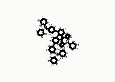 c1ccc(N(c2ccccc2)c2ccc(-c3cccc4c3-c3ccc(-c5cccc(N(c6ccccc6)c6ccccc6)c5)cc3C43c4ccccc4N(c4ccccc4)c4ccccc43)cc2)cc1